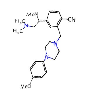 CNC(CN(C)C)c1ccc(C#N)c(CN2CCN(c3ccc(OC)cc3)CC2)c1